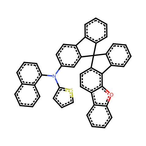 c1csc(N(c2ccc3c(c2)C2(c4ccccc4-3)c3ccccc3-c3c2ccc2c3oc3ccccc32)c2cccc3ccccc23)c1